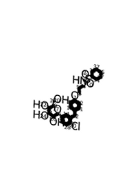 O=S(=O)(NCCCOc1ccc(Cc2cc([C@H]3O[C@H](CO)[C@H](O)[C@H](O)[C@H]3O)ccc2Cl)cc1)C1CCCCC1